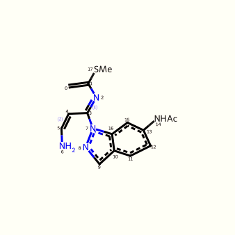 C=C(/N=C(\C=C/N)n1ncc2ccc(NC(C)=O)cc21)SC